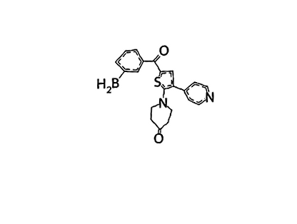 Bc1cccc(C(=O)c2cc(-c3ccncc3)c(N3CCC(=O)CC3)s2)c1